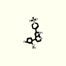 CCCOc1cc(F)ccc1-c1ccnc2[nH]c(C3=CCN(S(C)(=O)=O)CC3)cc12